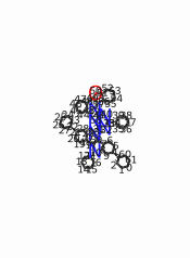 c1ccc(-c2ccc3c(c2)n(-c2ccccc2)c2c4ccc(-c5ccccc5)cc4n(-c4nc(-c5ccccc5)nc(-n5c6ccccc6c6oc7ccccc7c65)n4)c32)cc1